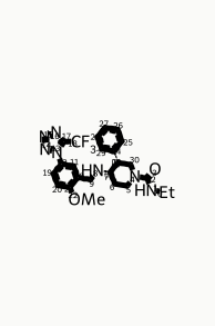 CCNC(=O)N1CC[C@H](NCc2cc(-n3nnnc3C(F)(F)F)ccc2OC)[C@H](c2ccccc2)C1